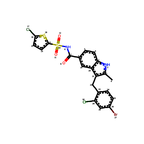 Cc1[nH]c2ccc(C(=O)NS(=O)(=O)c3ccc(Cl)s3)cc2c1Cc1ccc(Br)cc1Cl